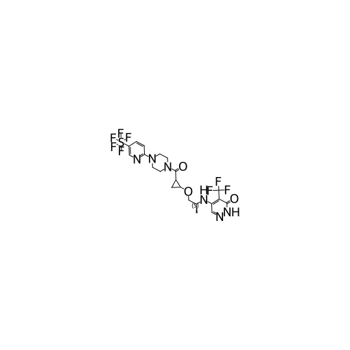 C[C@@H](COC1CC1C(=O)N1CCN(c2ccc(S(F)(F)(F)(F)F)cn2)CC1)Nc1cn[nH]c(=O)c1C(F)(F)F